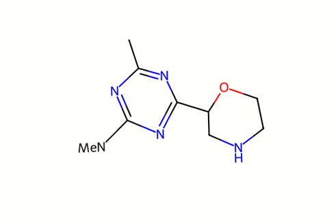 CNc1nc(C)nc(C2CNCCO2)n1